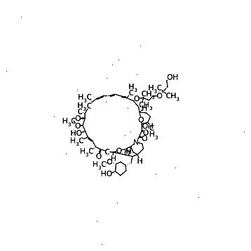 CO[C@@H]1C[C@H](CC2[C@H]3CCN4C(=O)C(=O)[C@]5(O)O[C@@H](CC[C@H]5C)CC(OC(C)(C)CCOC(C)(C)CCO)/C(C)=C/C=C/C=C/[C@@H](C)C[C@@H](C)C(=O)[C@H](OC)[C@H](O)/C(C)=C/[C@@H](C)C(=O)C[C@@H]2OC(=O)[C@@H]4C3)CC[C@H]1O